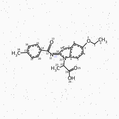 CCOc1ccc2c(c1)s/c(=N\C(=O)c1ccc(C)cc1)n2C(C)C(=O)O